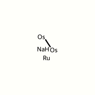 [NaH].[Os][Os].[Ru]